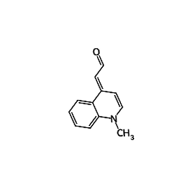 CN1C=CC(=CC=O)c2ccccc21